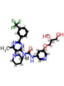 Cc1nc(-c2cccc(C(F)(F)F)c2)nc2c1N1CCC[C@@H](C1)N2C(=O)Nc1cncc(OC[C@H](O)CO)c1